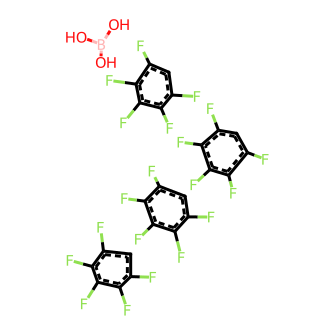 Fc1cc(F)c(F)c(F)c1F.Fc1cc(F)c(F)c(F)c1F.Fc1cc(F)c(F)c(F)c1F.Fc1cc(F)c(F)c(F)c1F.OB(O)O